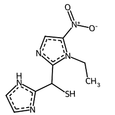 CCn1c([N+](=O)[O-])cnc1C(S)c1ncc[nH]1